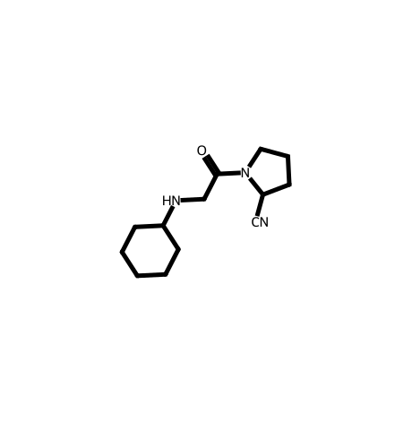 N#CC1CCCN1C(=O)CNC1CCCCC1